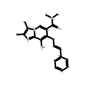 Cc1nc2c(O)c(C/C=C/c3ccccc3)c(C(=O)N(C)C)cn2c1C